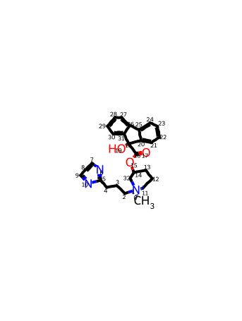 C[N+]1(CCCc2ncccn2)CCCC(OC(=O)C2(O)c3ccccc3-c3ccccc32)C1